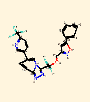 FC(F)(F)c1ccc(-c2ccc3nnc(C(F)(F)OCc4cc(-c5ccccc5)on4)n3c2)cn1